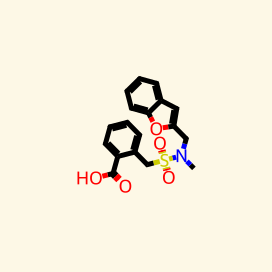 CN(Cc1cc2ccccc2o1)S(=O)(=O)Cc1ccccc1C(=O)O